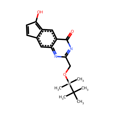 CC(C)(C)[Si](C)(C)OCC1=NC(=O)c2cc3c(cc2=N1)C=CC=3O